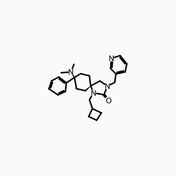 CN(C)[C@]1(c2ccccc2)CC[C@@]2(CC1)CN(Cc1cccnc1)C(=O)N2CC1CCC1